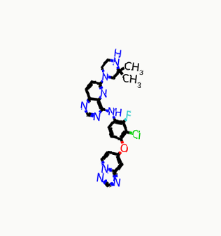 CC1(C)CN(c2ccc3ncnc(Nc4ccc(Oc5ccn6ncnc6c5)c(Cl)c4F)c3n2)CCN1